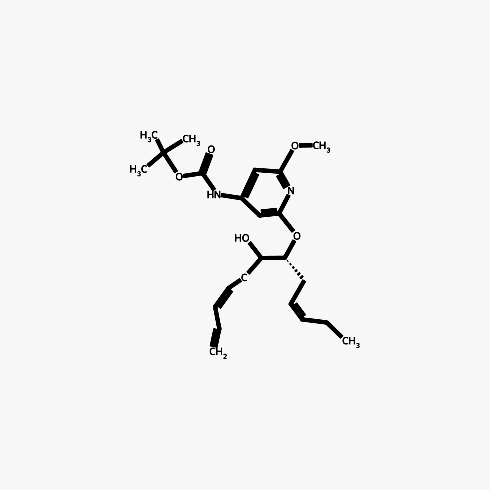 C=C/C=C\CC(O)[C@@H](C/C=C\CC)Oc1cc(NC(=O)OC(C)(C)C)cc(OC)n1